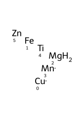 [Cu].[Fe].[MgH2].[Mn].[Ti].[Zn]